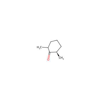 CC1CCC[C@@H](C)C1=O